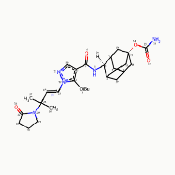 CC(C)COc1c(C(=O)N[C@H]2C3CC4CC2C[C@](OC(N)=O)(C4)C3)cnn1/C=C/C(C)(C)N1CCCC1=O